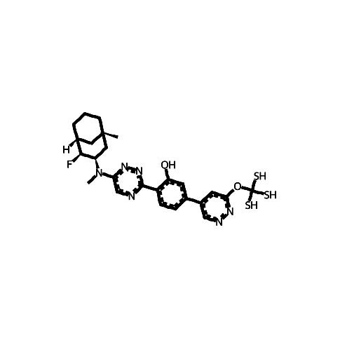 CN(c1cnc(-c2ccc(-c3cnnc(OC(S)(S)S)c3)cc2O)nn1)[C@@H]1C[C@@]2(C)CCC[C@H](C2)[C@@H]1F